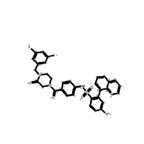 Nc1ccc(S(=O)(=O)Nc2ccc(C(=O)N3CCN(Cc4cc(F)cc(F)c4)C(=O)C3)cc2)c(-c2cccc3cccnc23)c1